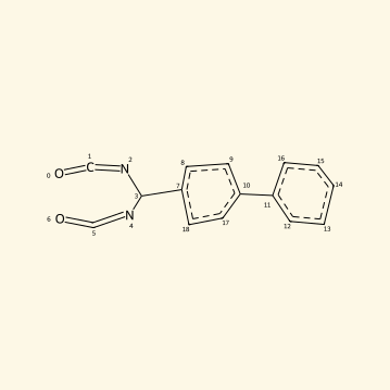 O=C=NC(N=C=O)c1ccc(-c2ccccc2)cc1